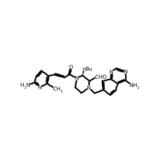 CCCC[C@H]1C(C=O)N(Cc2ccc3c(N)ncnc3c2)CCN1C(=O)C=Cc1ccc(N)nc1C